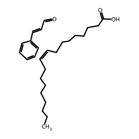 CCCCCCCC/C=C\CCCCCCCC(=O)O.O=C/C=C/c1ccccc1